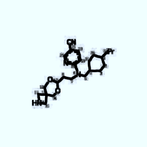 CC(C)C1CCC(CN(CCC2OCC3(CNC3)CO2)c2ccc(C#N)cn2)CC1